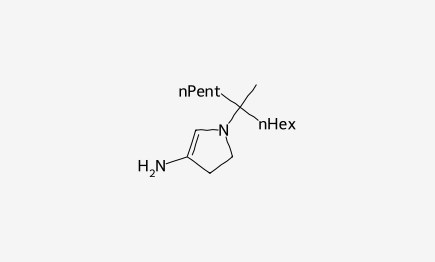 CCCCCCC(C)(CCCCC)N1C=C(N)CC1